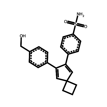 NS(=O)(=O)c1ccc(C2=CC3(C=C2c2ccc(CO)cc2)CCC3)cc1